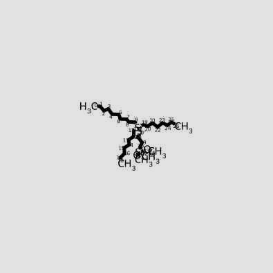 CCCCCCCCCC[Si](CCCCCCCC)(CCCCCCCC)SCCC[Si](C)(OC)OC